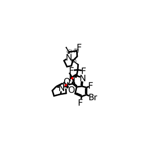 C[C@H]1[C@H](F)C[C@]2(CC(F)(F)c3nc(N4CC5CCC(C4)N5C(=O)OC(C)(C)C)c4cc(F)c(Br)c(F)c4n3)CCCN12